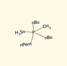 CCCCC[P](C)([SnH3])(CCCC)CCCC